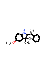 COc1ccc2c(c1)C(C)(C)C(C(C)c1ccccc1)N2